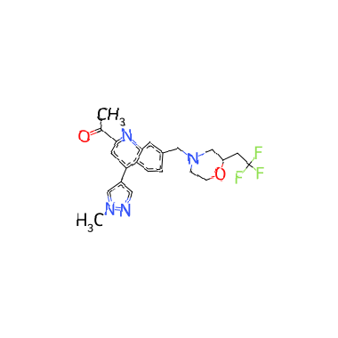 CC(=O)c1cc(-c2cnn(C)c2)c2ccc(CN3CCOC(CC(F)(F)F)C3)cc2n1